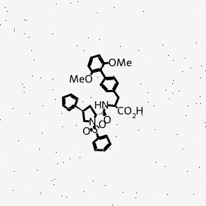 COc1cccc(OC)c1-c1ccc(C[C@H](NC(=O)[C@H]2C[C@H](c3ccccc3)CN2S(=O)(=O)c2ccccc2)C(=O)O)cc1